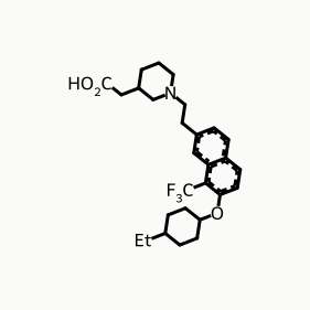 CCC1CCC(Oc2ccc3ccc(CCN4CCCC(CC(=O)O)C4)cc3c2C(F)(F)F)CC1